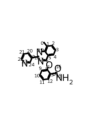 Cc1cccc2c(Oc3ccccc3C(N)=O)nc(-c3cccnc3)nc12